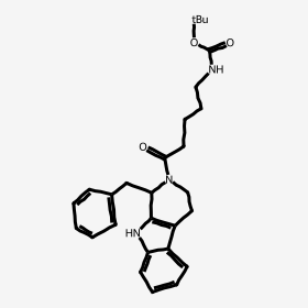 CC(C)(C)OC(=O)NCCCCC(=O)N1CCc2c([nH]c3ccccc23)C1Cc1ccccc1